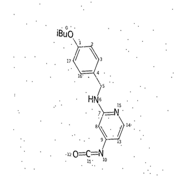 CC(C)COc1ccc(CNc2cc(N=C=O)ccn2)cc1